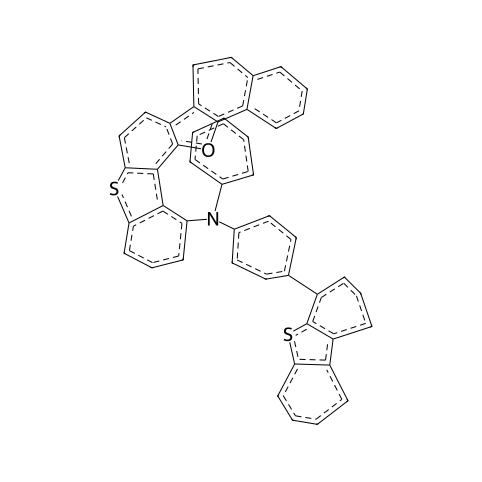 c1ccc(N(c2ccc(-c3cccc4c3sc3ccccc34)cc2)c2cccc3sc4ccc5c6ccc7ccccc7c6oc5c4c23)cc1